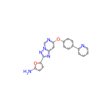 Nc1ccc(-c2nc3cc(Oc4ccc(-c5ccccn5)cc4)ncn3n2)o1